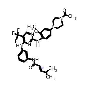 COc1cc(N2CCN(C(C)=O)CC2)ccc1Nc1ncc(C(F)(F)F)c(Nc2cccc(NC(=O)/C=C/C(C)C)c2)n1